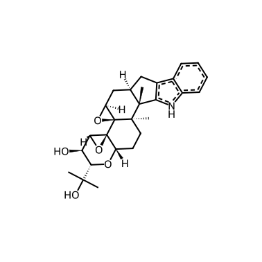 CC(C)(O)[C@H]1O[C@H]2CC[C@@]3(C)[C@]4(O[C@H]4C[C@H]4Cc5c([nH]c6ccccc56)[C@@]43C)[C@]23O[C@@H]3[C@@H]1O